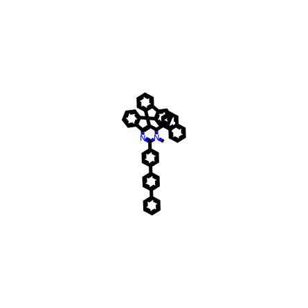 CN1C(c2ccc(-c3ccc(-c4ccccc4)cc3)cc2)=NC2=C(C1c1cccc3ccccc13)C1(c3ccccc32)c2ccccc2-c2ccccc21